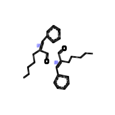 CCCCC/C(C=O)=C/c1ccccc1.CCCCC/C(C=O)=C\c1ccccc1